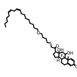 CCCCC/C=C\C/C=C\CCCCCCCCOCCCCSCC(=O)C1CC[C@H]2C3CCC4=CC(=O)C=CC4(C)[C@@]3(F)C(O)CC12O